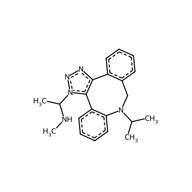 CNC(C)n1nnc2c1-c1ccccc1N(C(C)C)Cc1ccccc1-2